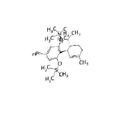 C=C(C)[C@@H]1CCC(C)=C[C@H]1c1c(O[Si](C)(C)C)cc(CCC)cc1O[Si](C)(C)C